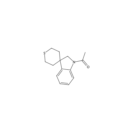 CC(=O)N1CC2(CCSCC2)c2ccccc21